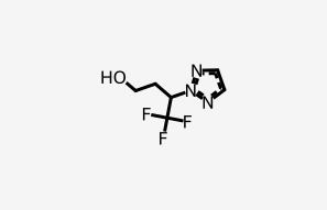 OCCC(n1nccn1)C(F)(F)F